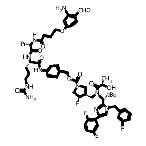 CC(C)[C@H](NC(=O)CCCOc1ccc(C=O)c(N)c1)C(=O)N[C@@H](CCCNC(N)=O)C(=O)Nc1ccc(COC(=O)N2C[C@@H](CN(C(=O)[C@@H](C)O)[C@@H](c3nc(-c4cc(F)ccc4F)cn3Cc3cccc(F)c3)C(C)(C)C)[C@@H](F)C2)cc1